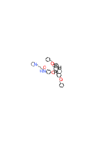 C[C@]12C[C@H](Oc3ccc(NC(=O)CCCCN4CCCCC4)cc3)[C@@H]3c4ccc(OCc5ccccc5)cc4CC[C@H]3[C@@H]1CC[C@@H]2OCc1ccccc1